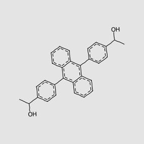 CC(O)c1ccc(-c2c3ccccc3c(-c3ccc(C(C)O)cc3)c3ccccc23)cc1